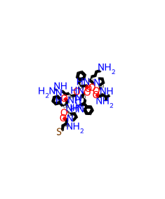 CSCC[C@H](N)C(=O)N1CCC[C@H]1C(=O)N[C@@H](Cc1ccccc1)C(=O)N[C@H](CCCNC(=N)N)C(=O)N[C@H](Cc1c[nH]c2ccccc12)C(=O)N[C@@H](Cc1ccccc1)C(=O)N[C@@H](CCCCN)C(=O)N1CCC[C@H]1C(=O)N[C@H](C(N)=O)C(C)C